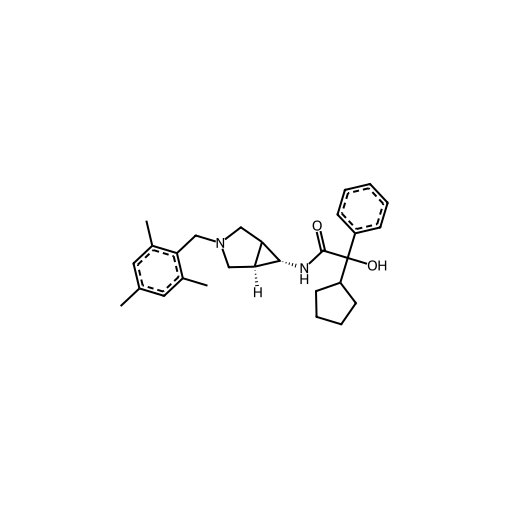 Cc1cc(C)c(CN2CC3[C@H](C2)[C@H]3NC(=O)C(O)(c2ccccc2)C2CCCC2)c(C)c1